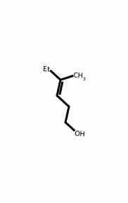 CC/C(C)=C/CCO